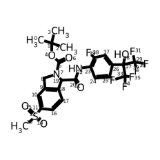 CC(C)(C)OC(=O)N1Cc2cc(S(C)(=O)=O)ccc2C1C(=O)Nc1ccc(C(O)(C(F)(F)F)C(F)(F)F)cc1F